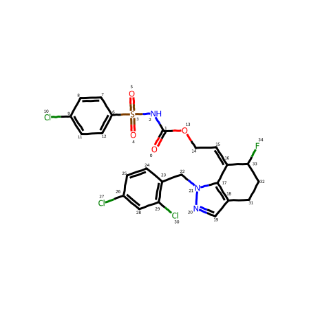 O=C(NS(=O)(=O)c1ccc(Cl)cc1)OC/C=C1\c2c(cnn2Cc2ccc(Cl)cc2Cl)CCC1F